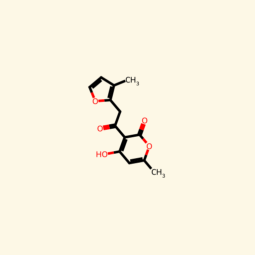 Cc1cc(O)c(C(=O)Cc2occc2C)c(=O)o1